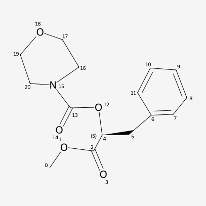 COC(=O)[C@H](Cc1ccccc1)OC(=O)N1CCOCC1